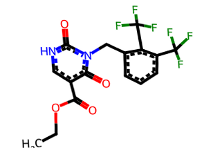 CCOC(=O)c1c[nH]c(=O)n(Cc2cccc(C(F)(F)F)c2C(F)(F)F)c1=O